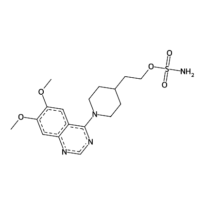 COc1cc2ncnc(N3CCC(CCOS(N)(=O)=O)CC3)c2cc1OC